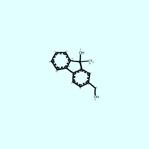 OCc1ccc2c(c1)C(O)(C(F)(F)F)c1ccccc1-2